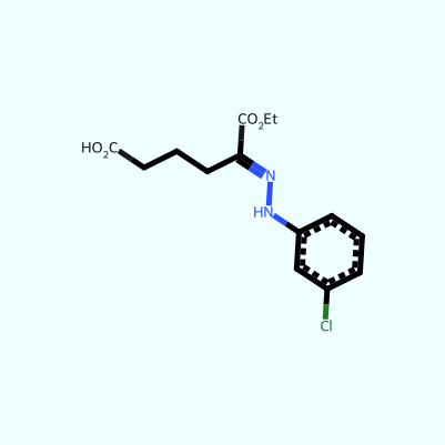 CCOC(=O)C(CCCC(=O)O)=NNc1cccc(Cl)c1